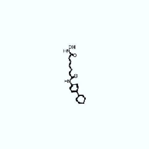 O=C(CCCCCC(=O)Nc1ccc(C2CCCCC2)cc1)NO